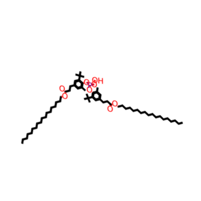 CCCCCCCCCCCCCCCCCCOC(=O)CCc1cc(C)c(OP(OO)Oc2c(C)cc(CCC(=O)OCCCCCCCCCCCCCCCCCC)cc2C(C)(C)C)c(C(C)(C)C)c1